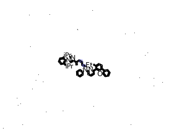 C=C(/C=C\C=C(/CC)N(c1ccccc1)c1cccc(-c2c(C)ccc3c2oc2ccccc23)n1)c1cn(-c2c(C(C)C)cccc2C(C)C)cn1